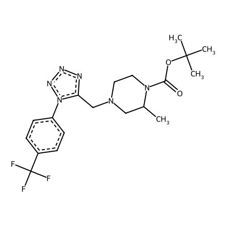 CC1CN(Cc2nnnn2-c2ccc(C(F)(F)F)cc2)CCN1C(=O)OC(C)(C)C